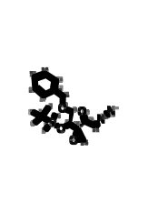 CC(C)(C)[Si](C)(C)O[C@@H](COCc1ccccc1)[C@@]1(C(=O)C=[N+]=[N-])CO1